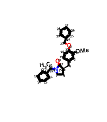 COc1cc(C[C@H]2CCN([C@@H](C)c3ccccc3)C2=O)ccc1OCc1ccccc1